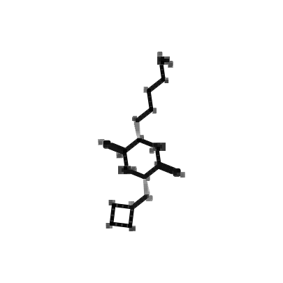 NCCCC[C@@H]1NC(=O)[C@H](CC2CCC2)NC1=O